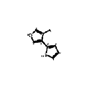 Cc1co[c]c1-c1cccs1